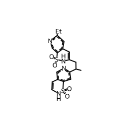 CCc1cc2c(cn1)S(=O)(=O)NC(CC(C)c1cc3c(cn1)C=CNS3(=O)=O)=C2